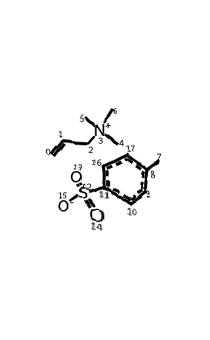 C=CC[N+](C)(C)C.Cc1ccc(S(=O)(=O)[O-])cc1